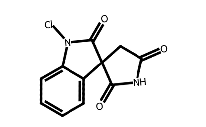 O=C1CC2(C(=O)N1)C(=O)N(Cl)c1ccccc12